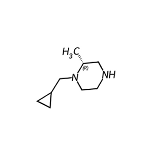 C[C@@H]1CNCCN1CC1CC1